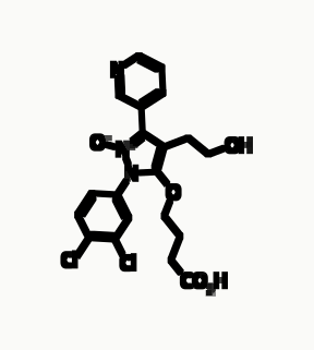 O=C(O)CCCOc1c(CCO)c(-c2cccnc2)[n+]([O-])n1-c1ccc(Cl)c(Cl)c1